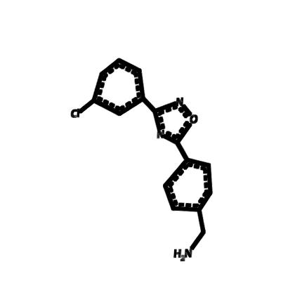 NCc1ccc(-c2nc(-c3cccc(Cl)c3)no2)cc1